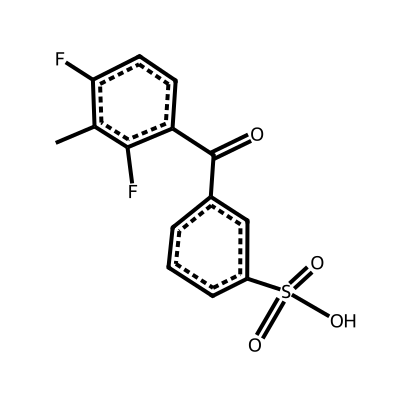 Cc1c(F)ccc(C(=O)c2cccc(S(=O)(=O)O)c2)c1F